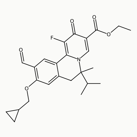 CCOC(=O)c1cn2c(c(F)c1=O)-c1cc(C=O)c(OCC3CC3)cc1CC2(C)C(C)C